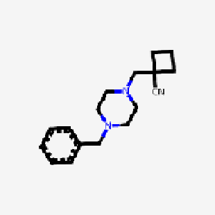 N#CC1(CN2CCN(Cc3ccccc3)CC2)CCC1